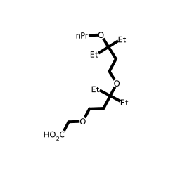 CCCOC(CC)(CC)CCOC(CC)(CC)CCOCC(=O)O